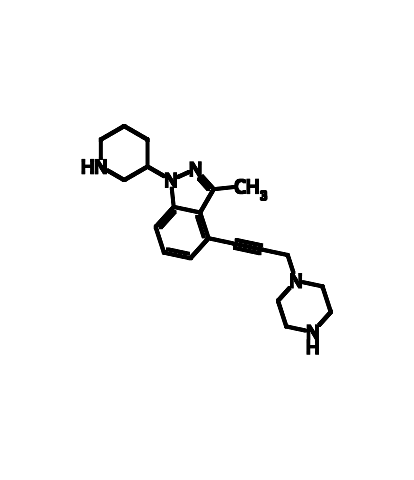 Cc1nn(C2CCCNC2)c2cccc(C#CCN3CCNCC3)c12